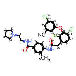 Cc1cc(C(=O)NCCN2CCCC2)ccc1NC(=O)Cc1ccc(Cl)c(Oc2cc(Cl)cc(C#N)c2)c1F